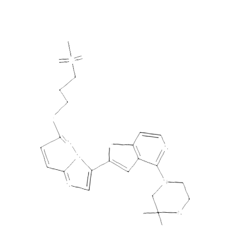 CC1(C)CN(c2nccc3oc(-c4cnc5ccc(OCCCS(C)(=O)=O)nn45)cc23)CCN1